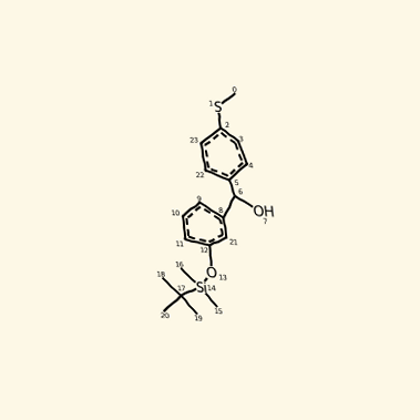 CSc1ccc(C(O)c2cccc(O[Si](C)(C)C(C)(C)C)c2)cc1